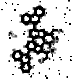 CCC(C)C1=Cc2c(-c3cc4ccccc4c4ccccc34)cccc2[CH]1[Zr+2]([CH]1C(C(C)CC)=Cc2c(-c3cc4ccccc4c4ccccc34)cccc21)=[Si](C)C.[Cl-].[Cl-]